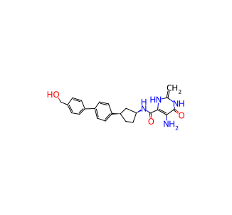 C=C1NC(=O)C(N)=C(C(=O)N[C@H]2CC[C@@H](c3ccc(-c4ccc(CO)cc4)cc3)C2)N1